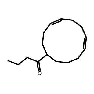 CCCC(=O)C1CCC=CCCC=CCCC1